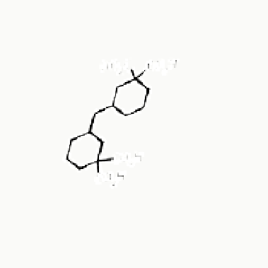 O=C(O)C1(C(=O)O)CCCC(CC2CCCC(C(=O)O)(C(=O)O)C2)C1